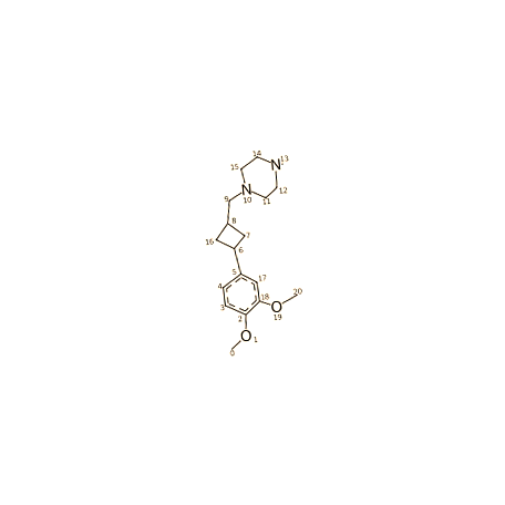 COc1ccc(C2CC(CN3CC[N]CC3)C2)cc1OC